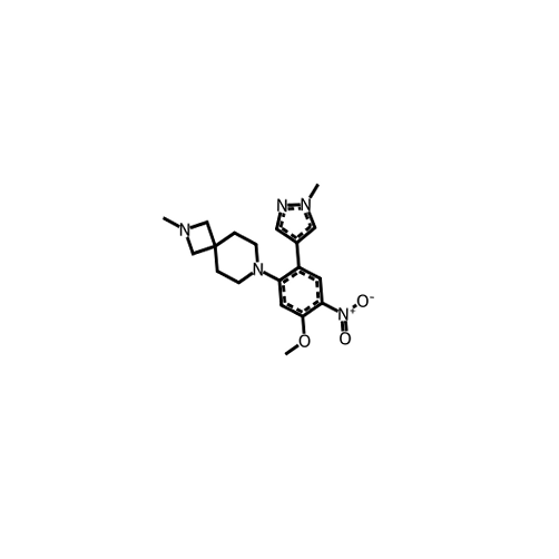 COc1cc(N2CCC3(CC2)CN(C)C3)c(-c2cnn(C)c2)cc1[N+](=O)[O-]